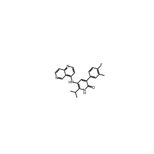 Cc1cc(-c2cc(Nc3ccnc4ccncc34)c(C(C)C)[nH]c2=O)ccc1F